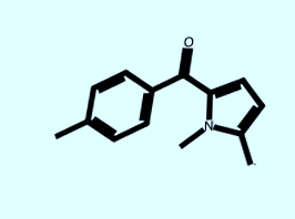 [CH2]c1ccc(C(=O)c2ccc(C)cc2)n1C